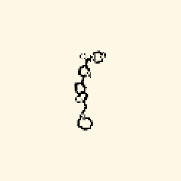 O=C(c1ccc(-c2ccc3oc(CCN4CCCCCC4)cc3c2)nc1)N1CCOCC1